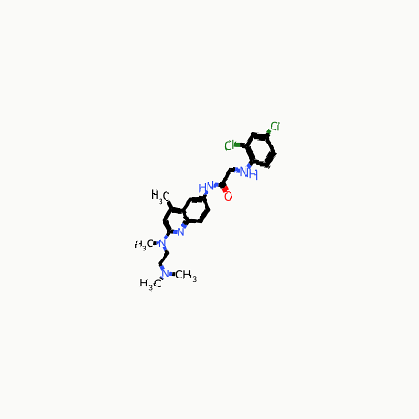 Cc1cc(N(C)CCN(C)C)nc2ccc(NC(=O)CNc3ccc(Cl)cc3Cl)cc12